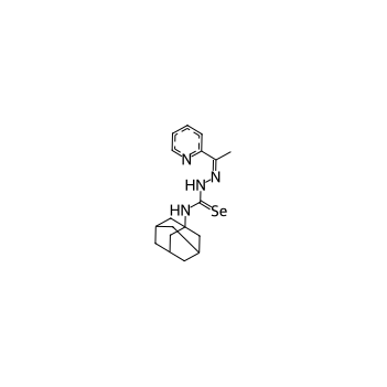 CC(=NNC(=[Se])NC12CC3CC(CC(C3)C1)C2)c1ccccn1